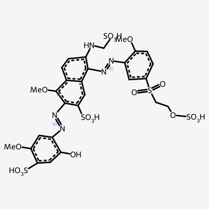 COc1ccc(S(=O)(=O)CCOS(=O)(=O)O)cc1/N=N/c1c(NCS(=O)(=O)O)ccc2c(OC)c(/N=N/c3cc(OC)c(S(=O)(=O)O)cc3O)c(S(=O)(=O)O)cc12